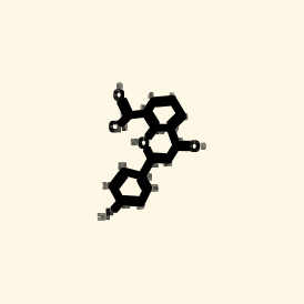 O=C(Cl)c1cccc2c(=O)cc(-c3ccc(F)cc3)oc12